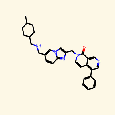 CC1CCC(CNCc2ccc3nc(Cn4ccc5c(-c6ccccc6)cncc5c4=O)cn3c2)CC1